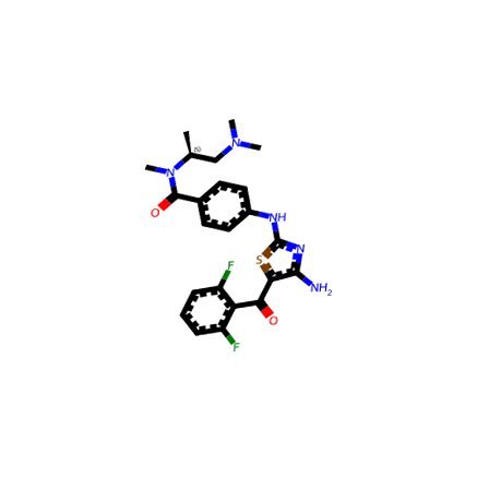 C[C@@H](CN(C)C)N(C)C(=O)c1ccc(Nc2nc(N)c(C(=O)c3c(F)cccc3F)s2)cc1